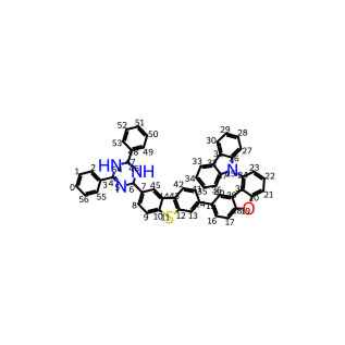 c1ccc(C2=NC(c3ccc4sc5cc(-c6ccc7oc8cccc(-n9c%10ccccc%10c%10ccccc%109)c8c7c6)ccc5c4c3)NC(c3ccccc3)N2)cc1